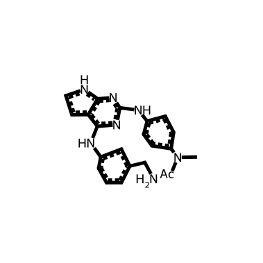 CC(=O)N(C)c1ccc(Nc2nc(Nc3cccc(CN)c3)c3cc[nH]c3n2)cc1